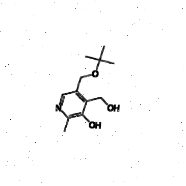 Cc1ncc(COC(C)(C)C)c(CO)c1O